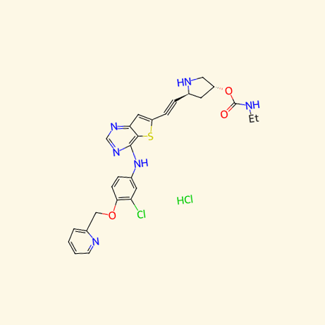 CCNC(=O)O[C@H]1CN[C@H](C#Cc2cc3ncnc(Nc4ccc(OCc5ccccn5)c(Cl)c4)c3s2)C1.Cl